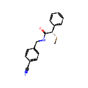 CS[C@H](C(=O)NCc1ccc(C#N)cc1)c1ccccc1